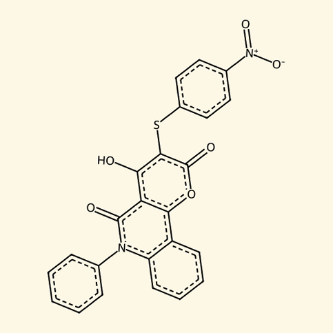 O=c1oc2c(c(O)c1Sc1ccc([N+](=O)[O-])cc1)c(=O)n(-c1ccccc1)c1ccccc21